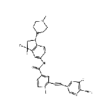 Cc1ccc(C(=O)Nc2ccc3c(c2)C(F)(F)CC3N2CCN(C)CC2)cc1C#Cc1cnc(N)c(Cl)c1